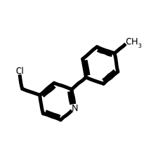 Cc1ccc(-c2cc(CCl)ccn2)cc1